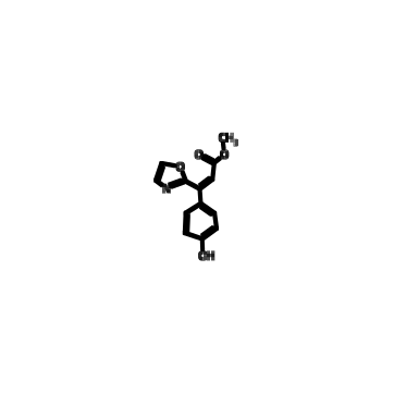 COC(=O)C=C(c1ccc(O)cc1)c1ncco1